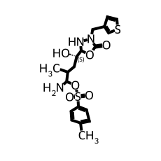 Cc1ccc(S(=O)(=O)OC(N)C(C)C[C@H](O)C2NN(Cc3ccsc3)C(=O)O2)cc1